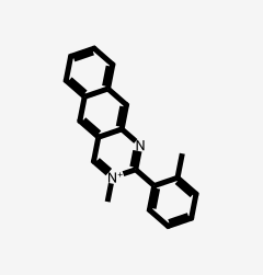 Cc1ccccc1-c1nc2cc3ccccc3cc2c[n+]1C